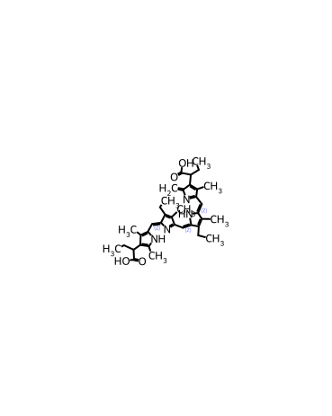 C=C1N=C(/C=c2\[nH]/c(=C\C3=NC(=C\c4[nH]c(C)c(C(CC)C(=O)O)c4C)/C(CC)=C3C)c(CC)c2C)C(C)=C1C(CC)C(=O)O